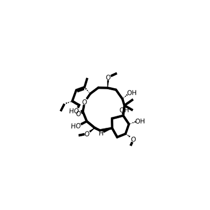 CC[C@H](/C=C(/C)[C@@H]1C[C@@H](OC)C[C@H](O)C(C)(C)[C@@]2(O)C[C@@H](C[C@@H](OC)C(O)C(=O)O1)C[C@@H](OC)[C@H]2O)CO